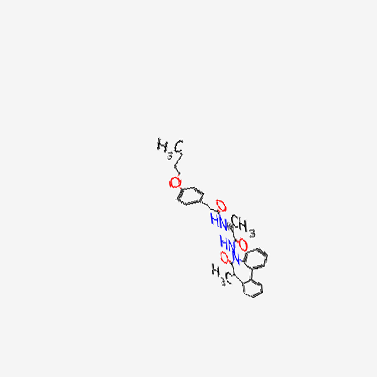 CCCCOc1ccc(CC(=O)N[C@@H](C)C(=O)NN2C(=O)C(C)c3ccccc3-c3ccccc32)cc1